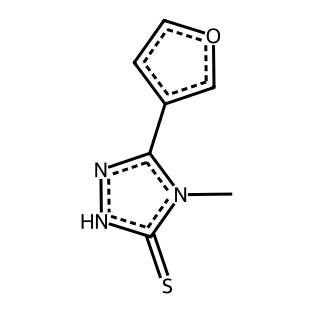 Cn1c(-c2ccoc2)n[nH]c1=S